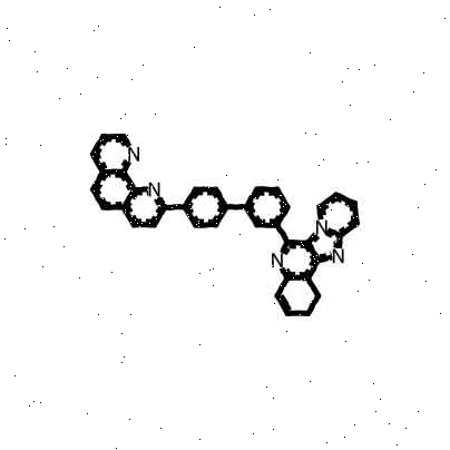 C1=Cc2nc(-c3cccc(-c4ccc(-c5ccc6ccc7cccnc7c6n5)cc4)c3)c3c(nc4ccccn43)c2CC1